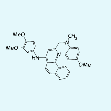 COc1ccc(N(C)Cc2cc(Nc3ccc(OC)c(OC)c3)c3ccc4ccccc4c3n2)cc1